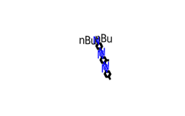 CCCCN(CCCC)c1ccc(/N=N/c2ccc(/N=N/c3ccc(C)cc3)c(C)c2)cc1